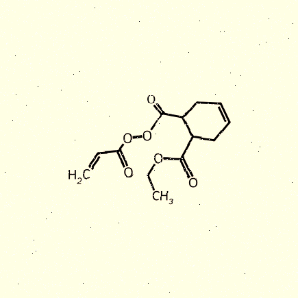 C=CC(=O)OOC(=O)C1CC=CCC1C(=O)OCC